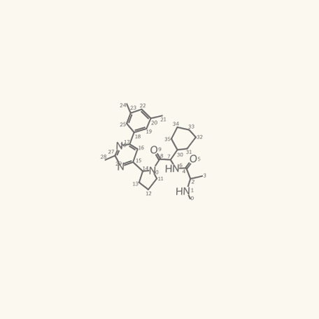 CNC(C)C(=O)NC(C(=O)N1CCCC1c1cc(-c2cc(C)cc(C)c2)nc(C)n1)C1CCCCC1